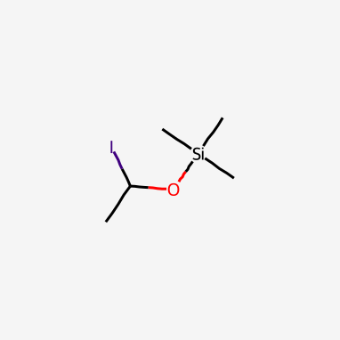 CC(I)O[Si](C)(C)C